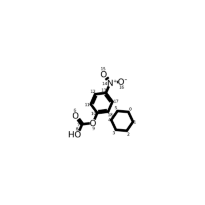 C1CCCCC1.O=C(O)Oc1ccc([N+](=O)[O-])cc1